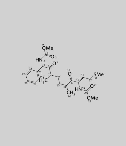 COC(=O)N[C@H](C(=O)C(C)CCC(C)C(=O)[C@@H](CCSC)NC(=O)OC)c1ccccc1